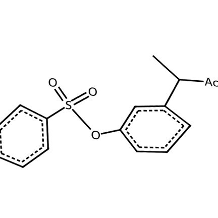 CC(=O)C(C)c1cccc(OS(=O)(=O)c2ccccc2)c1